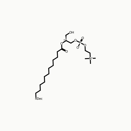 CCCCCCCCCCCCCCCCCCCCCC(=O)O[C@@H](CO)COP(=O)([O-])OCC[N+](C)(C)C